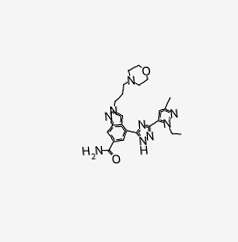 CCn1nc(C)cc1-c1n[nH]c(-c2cc(C(N)=O)cc3nn(CCCN4CCOCC4)cc23)n1